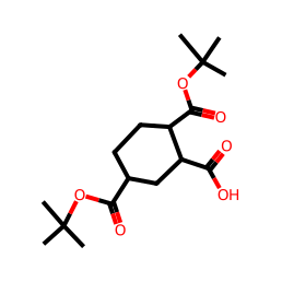 CC(C)(C)OC(=O)C1CCC(C(=O)OC(C)(C)C)C(C(=O)O)C1